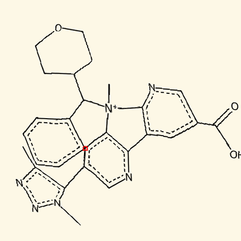 Cc1nnn(C)c1-c1cnc2c(c1)[N+](C)(C(c1ccccc1)C1CCOCC1)c1ncc(C(=O)O)cc1-2